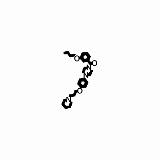 CCCCOc1cccc(C(=O)N2CCN(c3ccc(OCCCN4CCCCC4)cc3)CC2)c1